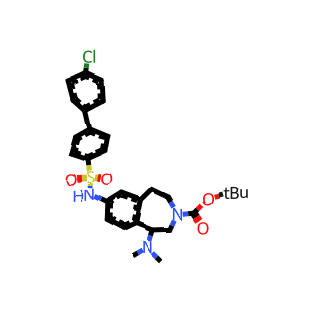 CN(C)C1CN(C(=O)OC(C)(C)C)CCc2cc(NS(=O)(=O)c3ccc(-c4ccc(Cl)cc4)cc3)ccc21